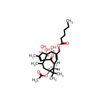 CCCCCC(=O)OCC1=C[C@@H]2C(=O)C3(C=C(C)[C@H](O)[C@@]3(O)[C@@H]1O)C(C)C[C@]1(OC(C)=O)[C@H]2C1(C)C